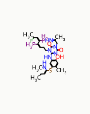 CC/C=C(\NC)Sc1cc(Nc2nc(=O)n(CC(C)=N)c(=O)n2CC/C=C(P)\C(P)=C/C(C)F)c(O)cc1C